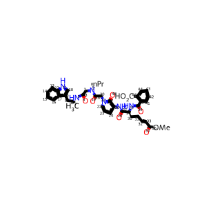 CCCN(CC(=O)NC(C)Cc1c[nH]c2ccccc12)C(=O)Cn1cccc(NC(=O)[C@H](CC/C=C/C(=O)OC)NC(=O)c2ccccc2C(=O)O)c1=O